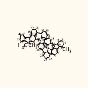 CC1CC=Cc2c1c1cccc3c1n2-c1ccccc1C31c2ccccc2-c2ccc(N(c3ccc4c(c3)C(C)(C)c3ccccc3-4)c3ccccc3-c3ccccc3)cc21